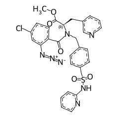 COC(=O)[C@@H](Cc1cccnc1)N(Cc1ccc(S(=O)(=O)Nc2ccccn2)cc1)C(=O)c1ccc(Cl)cc1N=[N+]=[N-]